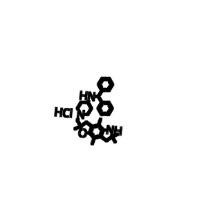 Cc1c2c(c(C)c3c1NC(C)(C)C3)OC(C)(CN1CCC(NC(c3ccccc3)c3ccccc3)CC1)C2.Cl